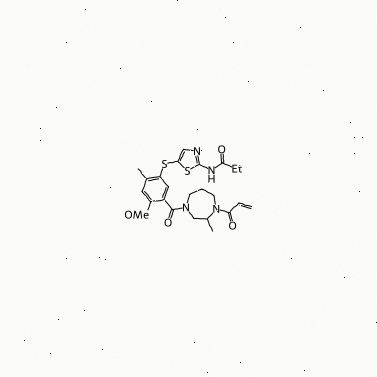 C=CC(=O)N1CCCN(C(=O)c2cc(Sc3cnc(NC(=O)CC)s3)c(C)cc2OC)CC1C